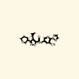 N#Cc1cc(NC(=O)c2snc(C3CCCOC3)c2C2CC2)cnc1-n1nccn1